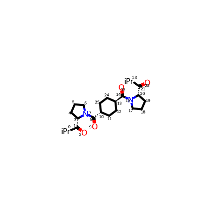 CC(C)C(=O)[C@@H]1CCCN1C(=O)[C@H]1CC[C@H](C(=O)N2CCC[C@H]2C(=O)C(C)C)CC1